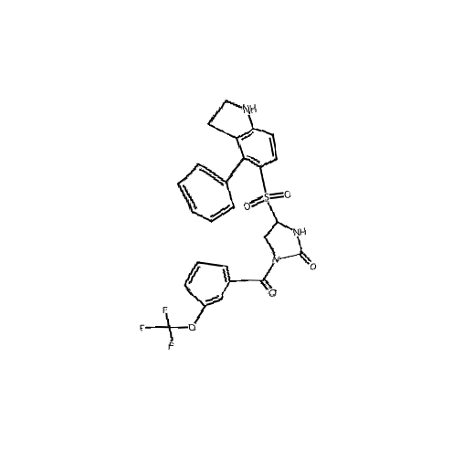 O=C1NC(S(=O)(=O)c2ccc3c(c2-c2ccccc2)CCN3)CN1C(=O)c1cccc(OC(F)(F)F)c1